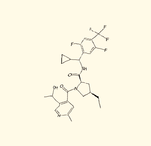 CC[C@@H]1C[C@H](C(=O)NC(c2cc(F)c(C(F)(F)F)cc2F)C2CC2)N(C(=O)c2cc(C)ncc2C(C)O)C1